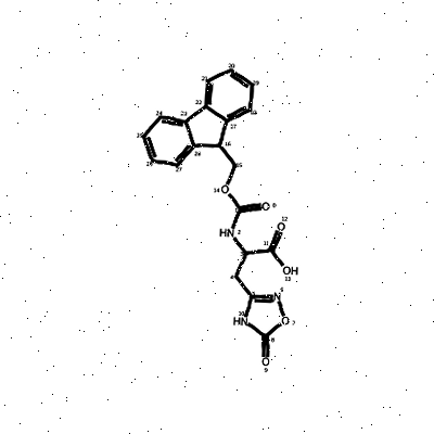 O=C(NC(Cc1noc(=O)[nH]1)C(=O)O)OCC1c2ccccc2-c2ccccc21